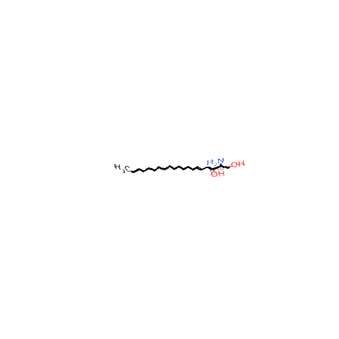 CCCCCCCCCCCCCC/C=C/C[C@@H](O)[C@@H](N)CO